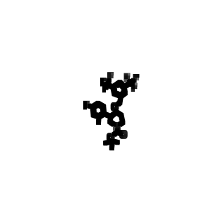 Cc1cc(F)ccc1C1CN(C(=O)OC(C)(C)C)CCC1OCc1cc(C(F)(F)F)cc(C(F)(F)F)c1